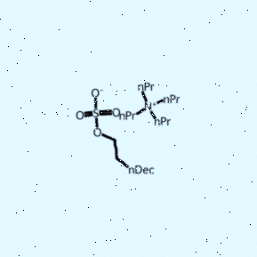 CCCCCCCCCCCCOS(=O)(=O)[O-].CCC[N+](CCC)(CCC)CCC